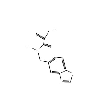 COC(=O)C(=O)N(Cc1ccc2scnc2c1)C(C)C